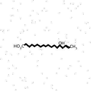 CC=CCC(O)CCCCCCCCCCCCC(=O)O